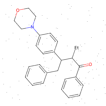 CCC(C(=O)c1ccccc1)C(Cc1ccccc1)c1ccc(N2CCOCC2)cc1